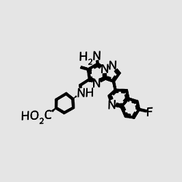 Cc1c(CN[C@H]2CC[C@H](C(=O)O)CC2)nc2c(-c3cnc4ccc(F)cc4c3)cnn2c1N